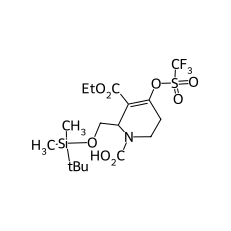 CCOC(=O)C1=C(OS(=O)(=O)C(F)(F)F)CCN(C(=O)O)C1CO[Si](C)(C)C(C)(C)C